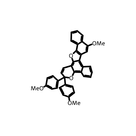 COc1ccc(C2(c3ccc(OC)cc3)C=Cc3c(c4ccccc4c4c3oc3c5ccccc5c(OC)cc34)O2)cc1